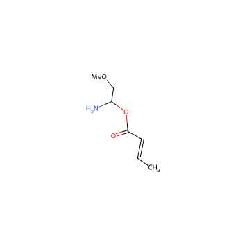 C/C=C/C(=O)OC(N)COC